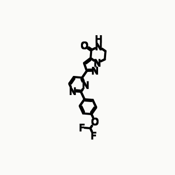 O=C1NCCn2nc(-c3ccnc(-c4ccc(OC(F)F)cc4)n3)cc21